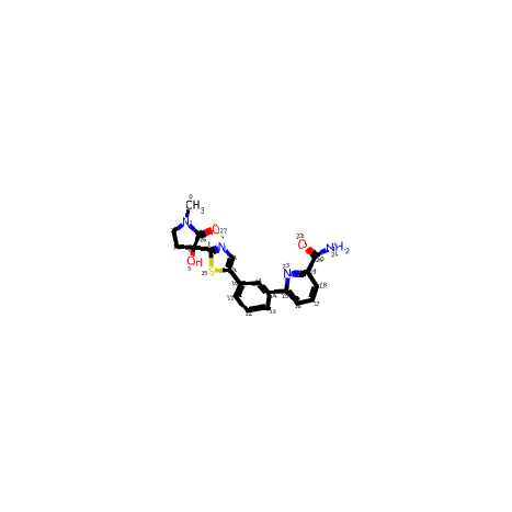 CN1CCC(O)(c2ncc(-c3cccc(-c4cccc(C(N)=O)n4)c3)s2)C1=O